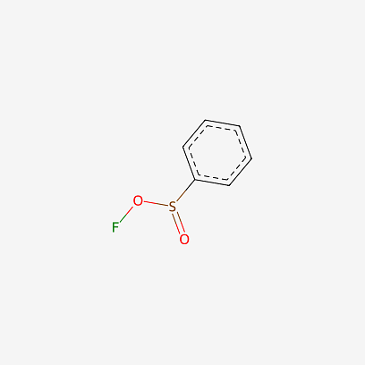 O=S(OF)c1ccccc1